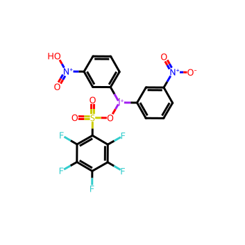 O=[N+]([O-])c1cccc([I+](OS(=O)(=O)c2c(F)c(F)c(F)c(F)c2F)c2cccc([N+](=O)O)c2)c1